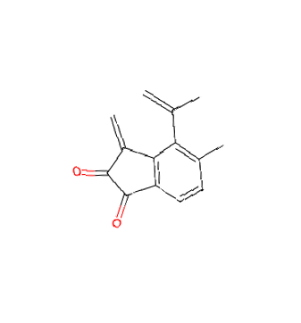 C=C(C)c1c(C)ccc2c1C(=C)C(=O)C2=O